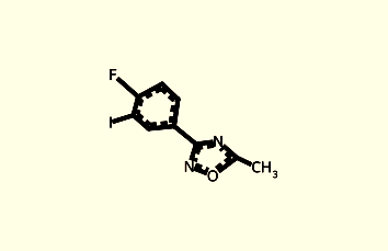 Cc1nc(-c2ccc(F)c(I)c2)no1